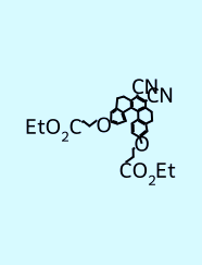 CCOC(=O)CCCOc1ccc2c(c1)CCc1c(C#N)c(C#N)c3c(c1-2)-c1ccc(OCCCC(=O)OCC)cc1CC3